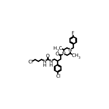 CC1CN(C(=O)CC(CNC(=O)NCCCCl)c2ccc(Cl)cc2)C(C)CN1Cc1ccc(F)cc1